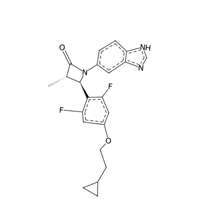 C[C@@H]1C(=O)N(c2ccc3[nH]cnc3c2)[C@H]1c1c(F)cc(OCCC2CC2)cc1F